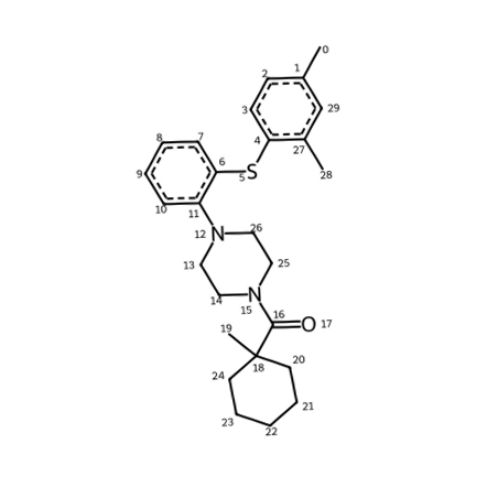 Cc1ccc(Sc2ccccc2N2CCN(C(=O)C3(C)CCCCC3)CC2)c(C)c1